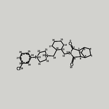 O=C1C2C3CCC(C3)C2C(=O)N1CC1CCCCC1CN1CCN(c2cccc(Cl)c2)CC1